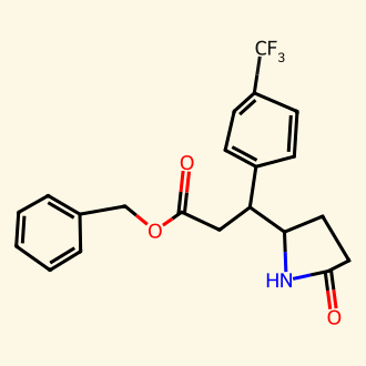 O=C1CCC(C(CC(=O)OCc2ccccc2)c2ccc(C(F)(F)F)cc2)N1